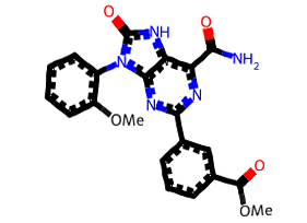 COC(=O)c1cccc(-c2nc(C(N)=O)c3[nH]c(=O)n(-c4ccccc4OC)c3n2)c1